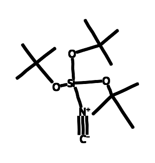 [C-]#[N+][Si](OC(C)(C)C)(OC(C)(C)C)OC(C)(C)C